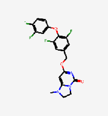 CN1CCn2c1cc(OCc1cc(F)c(Oc3ccc(F)c(F)c3)c(F)c1)nc2=O